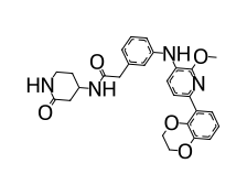 COc1nc(-c2cccc3c2OCCO3)ccc1Nc1cccc(CC(=O)NC2CCNC(=O)C2)c1